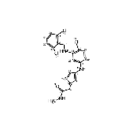 CNC(=O)Cn1cc(Nc2ncc(Cl)c(NCc3c(Cl)cccc3Cl)n2)cn1